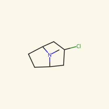 CN1C2CCC1CC(Cl)C2